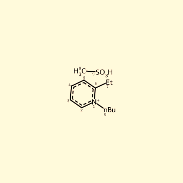 CCCC[n+]1ccccc1CC.CS(=O)(=O)O